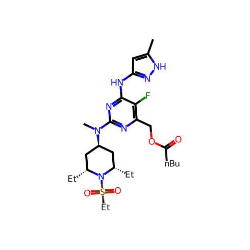 CCCCC(=O)OCc1nc(N(C)[C@@H]2C[C@@H](CC)N(S(=O)(=O)CC)[C@@H](CC)C2)nc(Nc2cc(C)[nH]n2)c1F